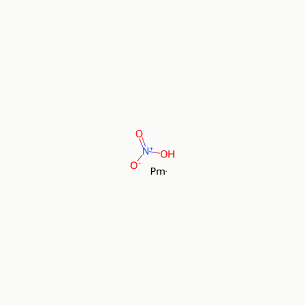 O=[N+]([O-])O.[Pm]